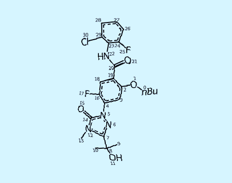 CCCCOc1cc(-n2nc(C(C)(C)O)n(C)c2=O)c(F)cc1C(=O)Nc1c(F)cccc1Cl